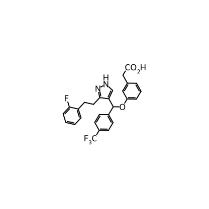 O=C(O)Cc1cccc(OC(c2ccc(C(F)(F)F)cc2)c2c[nH]nc2CCc2ccccc2F)c1